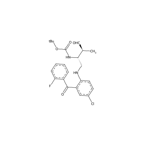 C[C@H](C=O)[C@H](CNc1ccc(Cl)cc1C(=O)c1ccccc1F)NC(=O)OC(C)(C)C